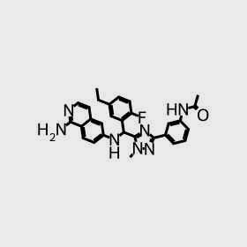 CCc1ccc(F)c(C(Nc2ccc3c(N)nccc3c2)c2nc(-c3cccc(NC(C)=O)c3)nn2C)c1